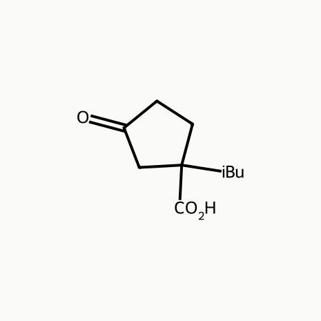 CCC(C)C1(C(=O)O)CCC(=O)C1